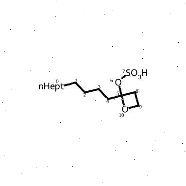 CCCCCCCCCCCC1(OS(=O)(=O)O)CCO1